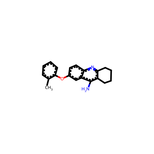 Cc1ccccc1Oc1ccc2nc3c(c(N)c2c1)CCCC3